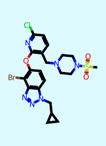 CS(=O)(=O)N1CCN(Cc2ccc(Cl)nc2Oc2ccc3c(nnn3CC3CC3)c2Br)CC1